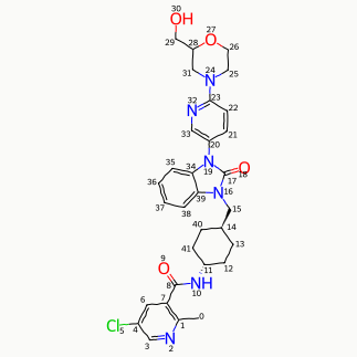 Cc1ncc(Cl)cc1C(=O)N[C@H]1CC[C@H](Cn2c(=O)n(-c3ccc(N4CCOC(CO)C4)nc3)c3ccccc32)CC1